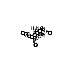 N[C@@H]1c2onc(OCc3ccccc3)c2C(=O)[C@@]2(O)C(O)=C3C(=O)c4c(OCc5ccccc5)cc(CN5CCc6ccccc6C5)c(Cl)c4C[C@H]3C[C@@H]12